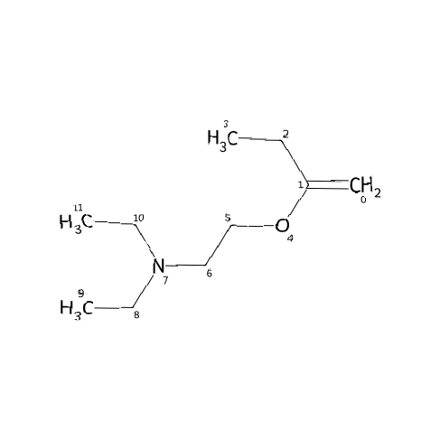 C=C(CC)OCCN(CC)CC